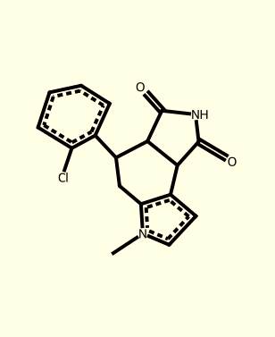 Cn1ccc2c1CC(c1ccccc1Cl)C1C(=O)NC(=O)C21